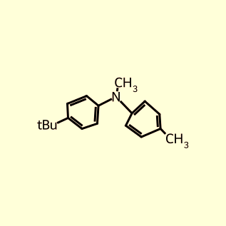 Cc1ccc(N(C)c2ccc(C(C)(C)C)cc2)cc1